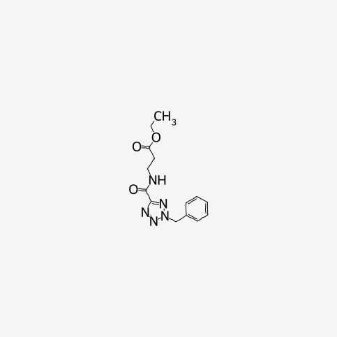 CCOC(=O)CCNC(=O)c1nnn(Cc2ccccc2)n1